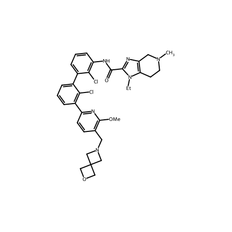 CCn1c(C(=O)Nc2cccc(-c3cccc(-c4ccc(CN5CC6(COC6)C5)c(OC)n4)c3Cl)c2Cl)nc2c1CCN(C)C2